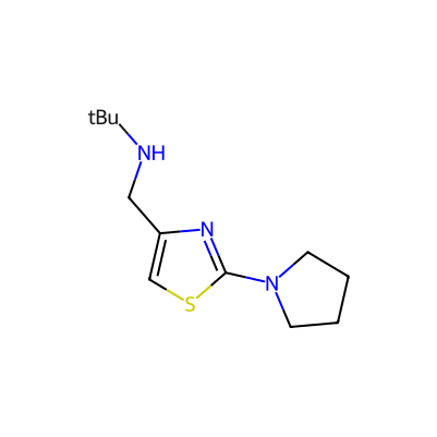 CC(C)(C)NCc1csc(N2CCCC2)n1